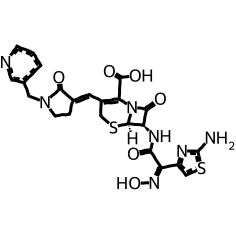 Nc1nc(/C(=N/O)C(=O)N[C@@H]2C(=O)N3C(C(=O)O)=C(/C=C4\CCN(Cc5cccnc5)C4=O)CS[C@H]23)cs1